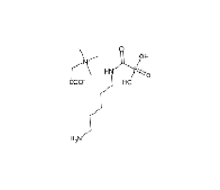 C[N+](C)(C)CC(=O)[O-].NCCCCCNC(=O)P(=O)(O)O